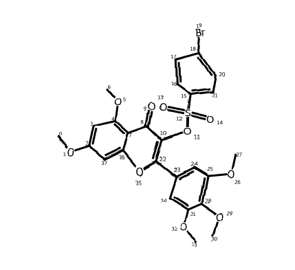 COc1cc(OC)c2c(=O)c(OS(=O)(=O)c3ccc(Br)cc3)c(-c3cc(OC)c(OC)c(OC)c3)oc2c1